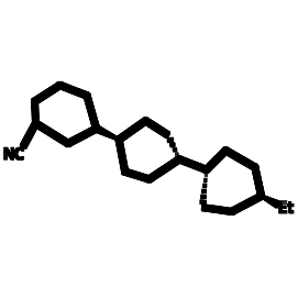 CC[C@H]1CC[C@H]([C@H]2CC[C@H](C3CCCC(C#N)C3)CC2)CC1